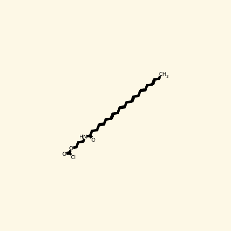 CCC=CCC=CCC=CCC=CCC=CCC=CCCC(=O)NCCCOC(=O)Cl